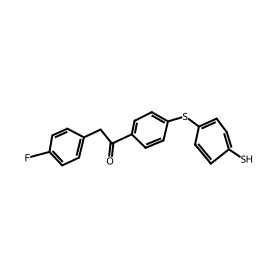 O=C(Cc1ccc(F)cc1)c1ccc(Sc2ccc(S)cc2)cc1